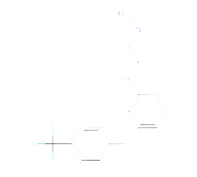 CNCCCc1cccc(Oc2ccc(C(F)(F)F)cc2)c1